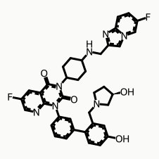 O=c1c2cc(F)cnc2n(-c2cccc(-c3ccc(O)cc3CN3CC[C@@H](O)C3)c2)c(=O)n1C1CCC(NCc2cn3cc(F)ccc3n2)CC1